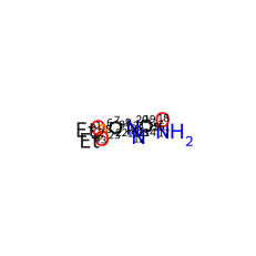 CCOP(OCC)c1ccc(Cn2cnc3cc(C(N)=O)ccc32)cc1